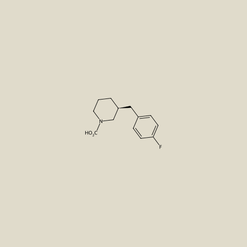 O=C(O)N1CCC[C@@H](Cc2ccc(F)cc2)C1